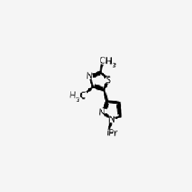 Cc1nc(C)c(-c2ccn(C(C)C)n2)s1